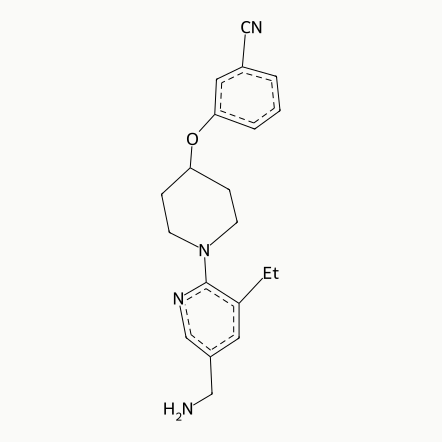 CCc1cc(CN)cnc1N1CCC(Oc2cccc(C#N)c2)CC1